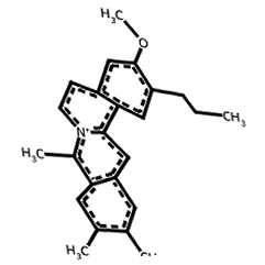 CCCc1cc2c(cc[n+]3c(C)c4cc(C)c(C)cc4cc23)cc1OC